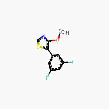 O=C(O)Oc1ncsc1-c1cc(F)cc(F)c1